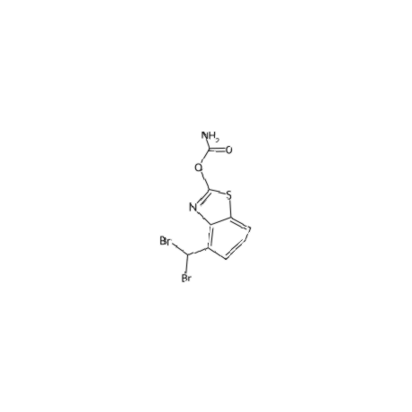 NC(=O)Oc1nc2c(C(Br)Br)cccc2s1